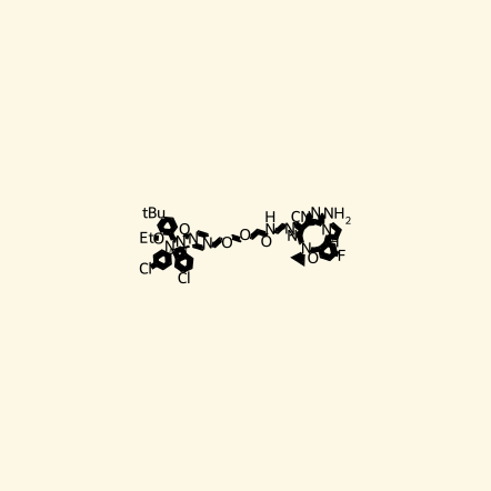 CCOc1cc(C(C)(C)C)ccc1C1=N[C@]2(c3ccc(Cl)cc3)c3cc(Cl)ccc3[C@@]2(C)N1C(=O)N1CCN(CCOCCOCCC(=O)NCCn2nc3c(c2C#N)-c2cnc(N)c(c2)N2CCC[C@@H]2c2cc(F)ccc2C(=O)N(C2CC2)C3)CC1